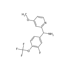 COc1ccnc(C(N)c2ccc(OC(F)(F)F)c(F)c2)c1